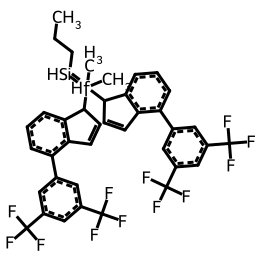 CCC[SiH]=[Hf]([CH3])([CH3])([CH]1C=Cc2c(-c3cc(C(F)(F)F)cc(C(F)(F)F)c3)cccc21)[CH]1C=Cc2c(-c3cc(C(F)(F)F)cc(C(F)(F)F)c3)cccc21